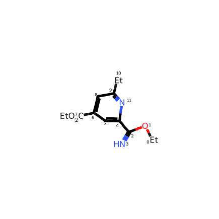 CCOC(=N)c1cc(C(=O)OCC)cc(CC)n1